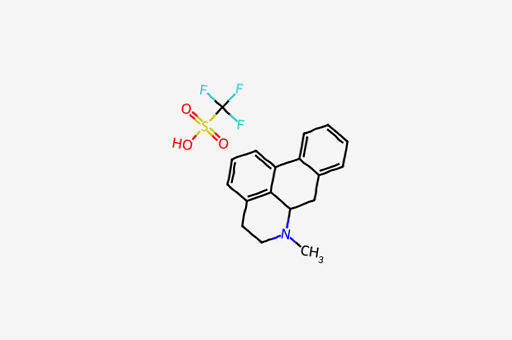 CN1CCc2cccc3c2C1Cc1ccccc1-3.O=S(=O)(O)C(F)(F)F